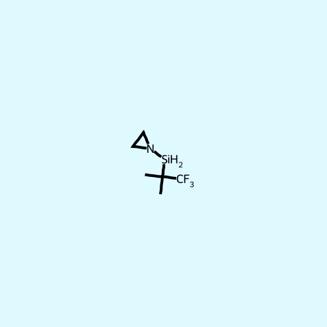 CC(C)([SiH2]N1CC1)C(F)(F)F